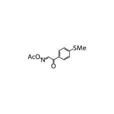 CSc1ccc(C(=O)/C=N/OC(C)=O)cc1